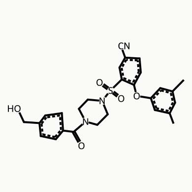 Cc1cc(C)cc(Oc2ccc(C#N)cc2S(=O)(=O)N2CCN(C(=O)c3ccc(CO)cc3)CC2)c1